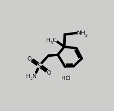 CC1(CN)C=CC=CC1CS(N)(=O)=O.Cl